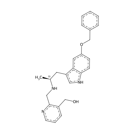 C[C@@H](Cc1c[nH]c2ccc(OCc3ccccc3)cc12)NCc1ncccc1CO